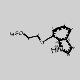 COCCOc1cccc2cc[nH]c12